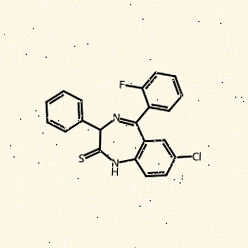 Fc1ccccc1C1=NC(c2ccccc2)C(=S)Nc2ccc(Cl)cc21